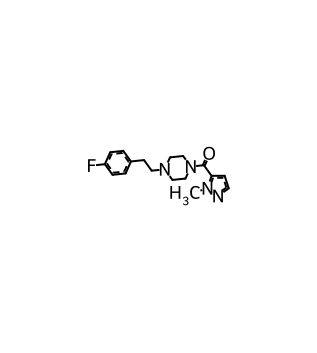 Cn1nccc1C(=O)N1CCN(CCc2ccc(F)cc2)CC1